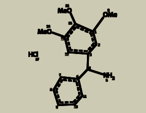 COc1cc(C(N)c2ccccc2)cc(OC)c1OC.Cl